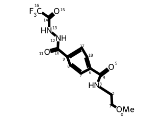 COCCNC(=O)c1ccc(C(=O)NNC(=O)C(F)(F)F)cc1